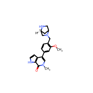 COc1cc(-c2cn(C)c(=O)c3[nH]ccc23)ccc1CN1C[C@@H]2CC1CN2